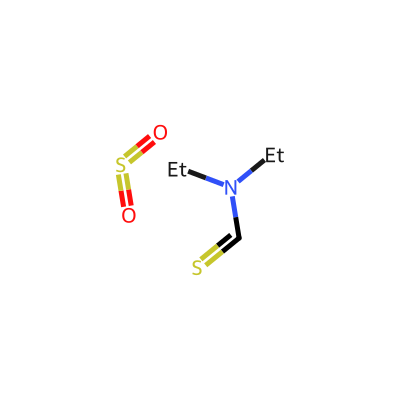 CCN(C=S)CC.O=S=O